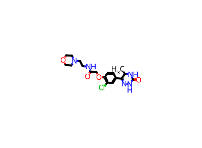 CC1NC(=O)NN=C1c1ccc(OCC(=O)NCCN2CCOCC2)c(Cl)c1